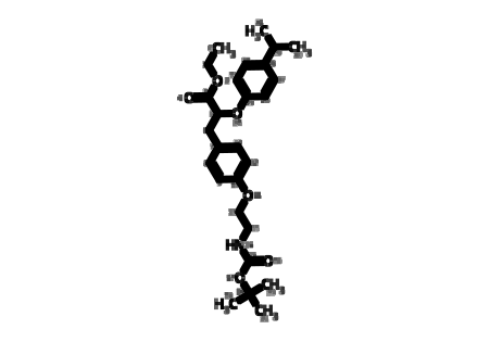 CCOC(=O)C(Cc1ccc(OCCNC(=O)OC(C)(C)C)cc1)Oc1ccc(C(C)C)cc1